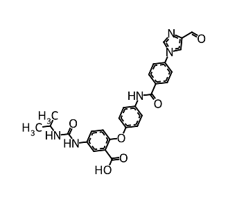 CC(C)NC(=O)Nc1ccc(Oc2ccc(NC(=O)c3ccc(-n4cnc(C=O)c4)cc3)cc2)c(C(=O)O)c1